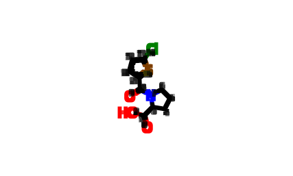 O=C(O)C1CCCN1C(=O)c1ccc(Cl)s1